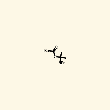 CCCC(C)(C)OC(=O)C(C)CC